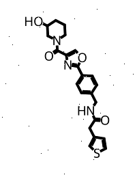 O=C(Cc1ccsc1)NCc1ccc(-c2nc(C(=O)N3CCCC(O)C3)co2)cc1